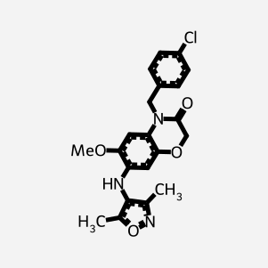 COc1cc2c(cc1Nc1c(C)noc1C)OCC(=O)N2Cc1ccc(Cl)cc1